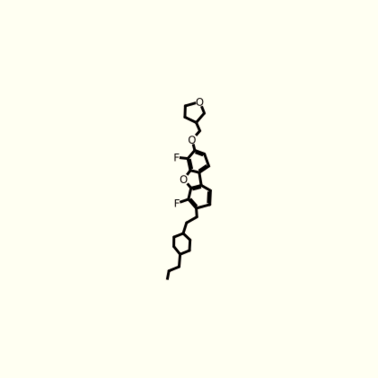 CCCC1CCC(CCc2ccc3c(oc4c(F)c(OCC5CCOC5)ccc43)c2F)CC1